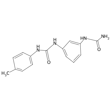 Cc1ccc(NC(=O)Nc2cccc(NC(N)=O)c2)cc1